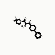 C[C@@H](C1CCC(c2cccnc2)CC1)C(N)C(=O)N1CCC(F)(F)C1